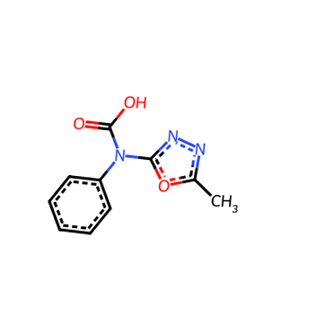 Cc1nnc(N(C(=O)O)c2ccccc2)o1